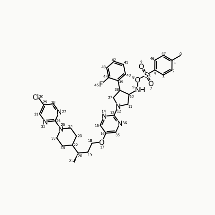 Cc1ccc(S(=O)(=O)ONC2CN(c3ncc(OCC[C@@H](C)C4CCN(c5ncc(Cl)cn5)CC4)cn3)CC2c2ccccc2F)cc1